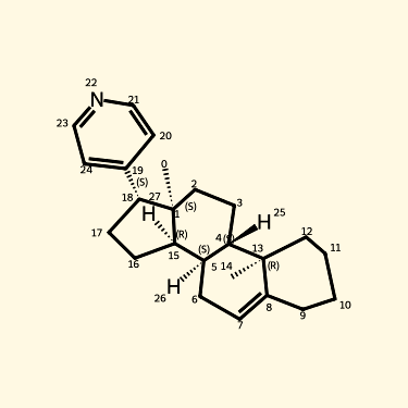 C[C@]12CC[C@H]3[C@@H](CC=C4CCCC[C@@]43C)[C@H]1CC[C@@H]2c1ccncc1